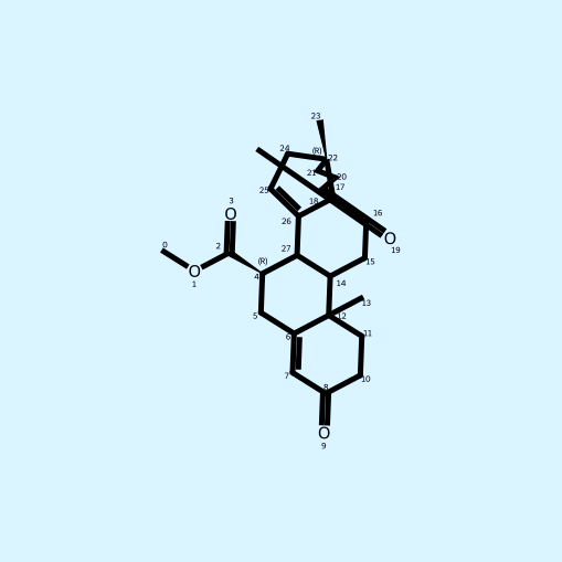 COC(=O)[C@@H]1CC2=CC(=O)CCC2(C)C2CCC34C(=O)CC[C@]3(C)CC=C4C21